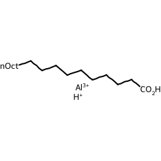 CCCCCCCCCCCCCCCCCC(=O)O.[Al+3].[H+]